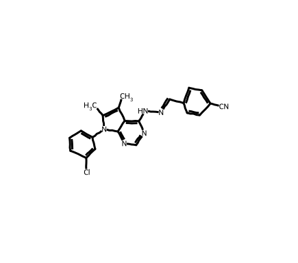 Cc1c(C)n(-c2cccc(Cl)c2)c2ncnc(NN=Cc3ccc(C#N)cc3)c12